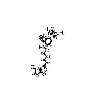 CN(C)S(=O)(=O)c1ccc(NCCCCCC(=O)ON2C(=O)CCC2=O)c2nonc12